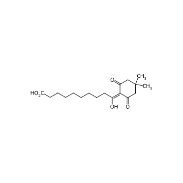 CC1(C)CC(=O)C(=C(O)CCCCCCCCC(=O)O)C(=O)C1